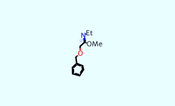 CC/N=C(/COCc1ccccc1)OC